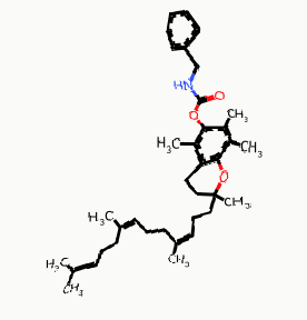 CC(C)=CCCC(C)=CCCC(C)=CCCC1(C)CCc2c(C)c(OC(=O)NCc3ccccc3)c(C)c(C)c2O1